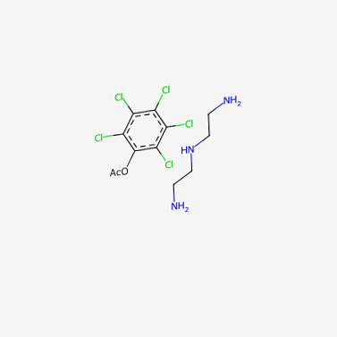 CC(=O)Oc1c(Cl)c(Cl)c(Cl)c(Cl)c1Cl.NCCNCCN